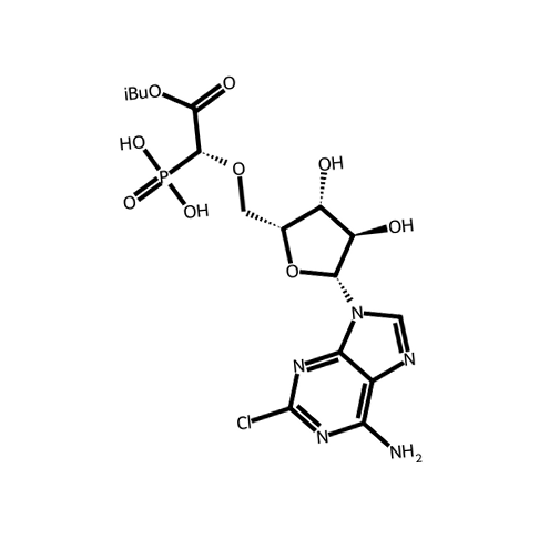 CC(C)COC(=O)[C@H](OC[C@H]1O[C@@H](n2cnc3c(N)nc(Cl)nc32)[C@H](O)[C@H]1O)P(=O)(O)O